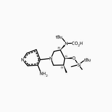 C[C@H]1CN(c2ccncc2N)C[C@@H](N(C(=O)O)C(C)(C)C)[C@H]1O[Si](C)(C)C(C)(C)C